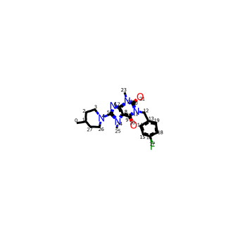 CC1CCN(c2nc3c(c(=O)n(Cc4ccc(F)cc4)c(=O)n3C)n2C)CC1